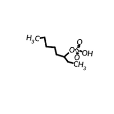 CCCCCC(CC)OS(=O)(=O)O